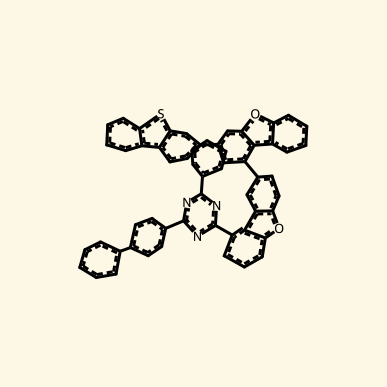 c1ccc(-c2ccc(-c3nc(-c4ccccc4)nc(-c4cccc5oc6ccc(-c7cc(-c8ccc9c(c8)sc8ccccc89)cc8oc9ccccc9c78)cc6c45)n3)cc2)cc1